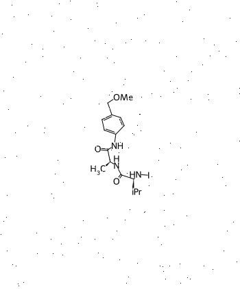 COCc1ccc(NC(=O)[C@H](C)NC(=O)[C@@H](NI)C(C)C)cc1